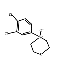 [O-][N+]1(c2ccc(Cl)c(Cl)c2)CCSCC1